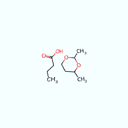 CC1CCOC(C)O1.CCCC(=O)O